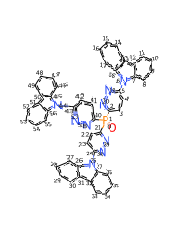 O=P(c1ccc(-n2c3ccccc3c3ccccc32)nn1)(c1ccc(-n2c3ccccc3c3ccccc32)nn1)c1ccc(-n2c3ccccc3c3ccccc32)nn1